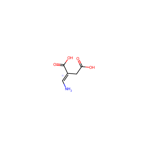 N/C=C(\CC(=O)O)C(=O)O